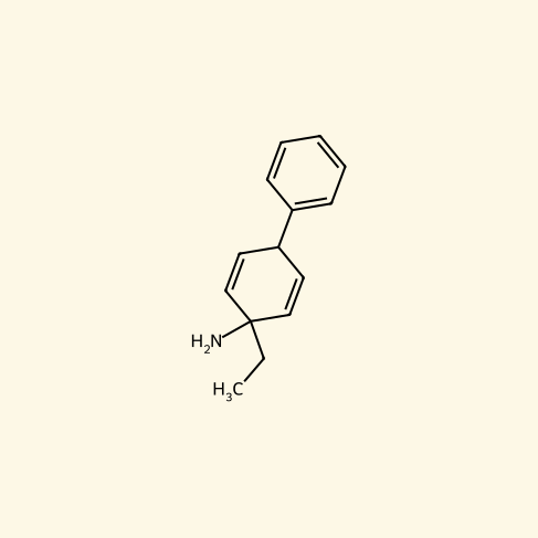 CCC1(N)C=CC(c2ccccc2)C=C1